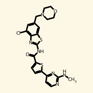 CNc1nccc(-c2ccc(C(=O)Nc3nc4c(Cl)cc(CN5CCOCC5)cc4s3)s2)n1